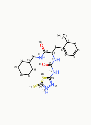 CC1CC=CC=C1CC(NC(=O)Nc1n[nH]c(=S)s1)C(=O)NCC1CCCCC1